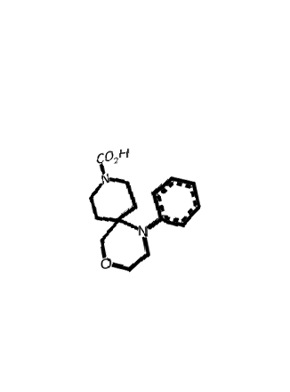 O=C(O)N1CCC2(CC1)COCCN2c1ccccc1